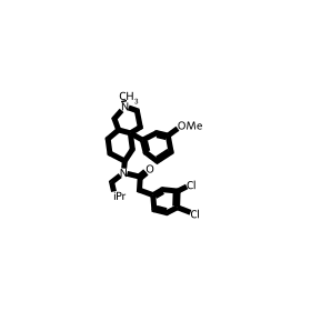 COc1cccc(C23CCN(C)CC2CCC(N(CC(C)C)C(=O)Cc2ccc(Cl)c(Cl)c2)C3)c1